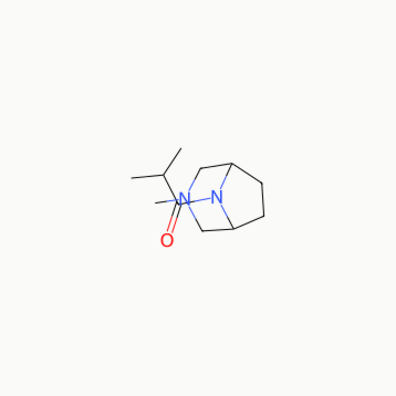 CC(C)C(=O)N1C2CCC1CN(C)C2